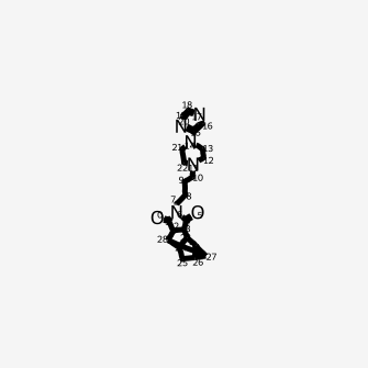 O=C1C2C(C(=O)N1CCCCN1CCN(c3cnccn3)CC1)C1C3CC4C(C32)C41